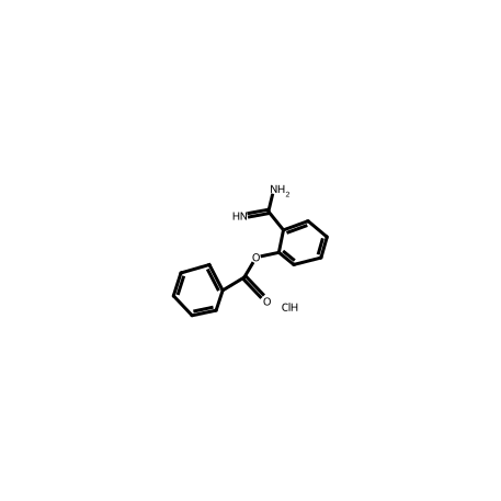 Cl.N=C(N)c1ccccc1OC(=O)c1ccccc1